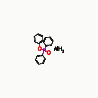 O=P(Oc1ccccc1)(c1ccccc1)c1ccccc1.[AlH3]